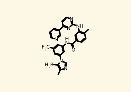 Bc1c(C)ncn1-c1cc(NC(=O)c2ccc(C)c(Nc3nccc(-c4cccnc4)n3)c2)cc(C(F)(F)F)c1